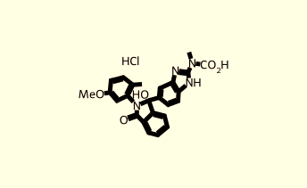 COc1ccc(C)c(N2C(=O)c3ccccc3C2(O)c2ccc3[nH]c(N(C)C(=O)O)nc3c2)c1.Cl